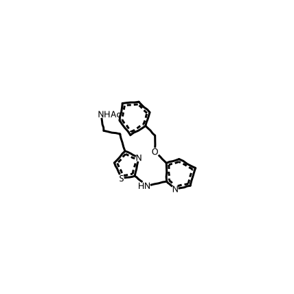 CC(=O)NCCc1csc(Nc2ncccc2OCc2ccccc2)n1